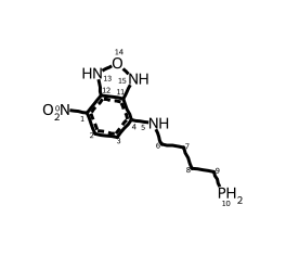 O=[N+]([O-])c1ccc(NCCCCP)c2c1NON2